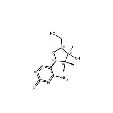 C[C@@]1(O)[C@H](CO)O[C@H](c2c[nH]c(=O)nc2N)[C@@]1(C)F